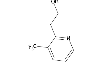 OCCc1ncccc1C(F)(F)F